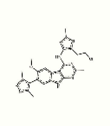 COc1cc2c(cc1-c1c(C)noc1C)[nH]c1nc(C)nc(Nc3cc(C)nn3CCO)c12